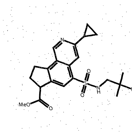 COC(=O)C1CCc2c1cc(S(=O)(=O)NCC(C)(C)F)c1cc(C3CC3)ncc21